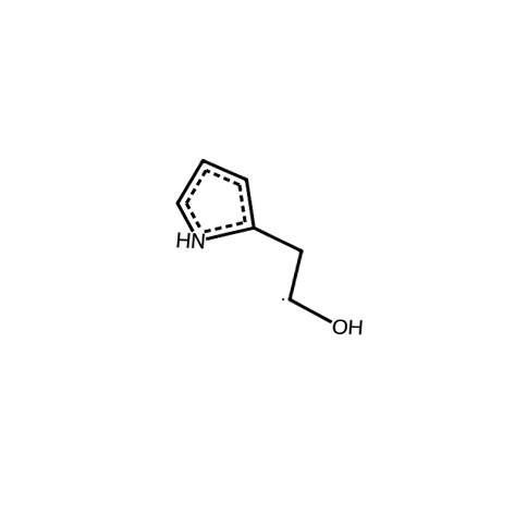 O[CH]Cc1ccc[nH]1